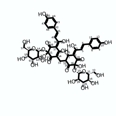 O=C1/C(=C(O)/C=C/c2ccc(O)cc2)C(=O)C(O)(O[C@@H]2O[C@H](CO)[C@@H](O)[C@H](O)[C@H]2O)C(=O)C1CC1=C(O)/C(=C(O)/C=C/c2ccc(O)cc2)C(=O)C(O)(O[C@@H]2O[C@H](CO)[C@@H](O)[C@H](O)[C@H]2O)C1=O